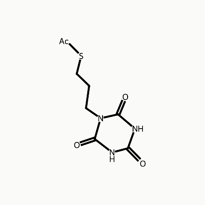 CC(=O)SCCCn1c(=O)[nH]c(=O)[nH]c1=O